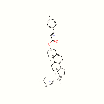 Cc1ccc(/C=C/C(=O)O[C@H]2CC[C@@]3(C)C(=CC=C4C3CC[C@@]3(C)C4CC[C@@H]3[C@H](C)/C=C/[C@H](C)C(C)C)C2)cc1